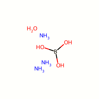 N.N.N.O.OB(O)O